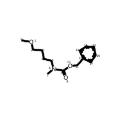 COCCCCN(C)C(=O)OCc1ccccc1